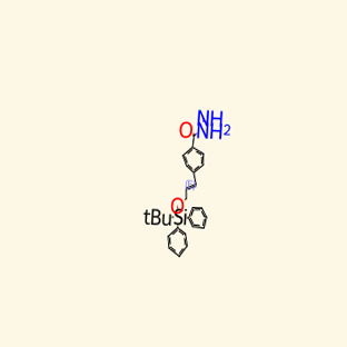 CC(C)(C)[Si](OC/C=C/c1ccc(C(=O)NN)cc1)(c1ccccc1)c1ccccc1